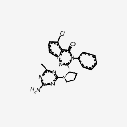 Cc1nc(N)nc(N2CCC[C@H]2c2nn3ccc(Cl)c3c(=O)n2-c2ccccc2)n1